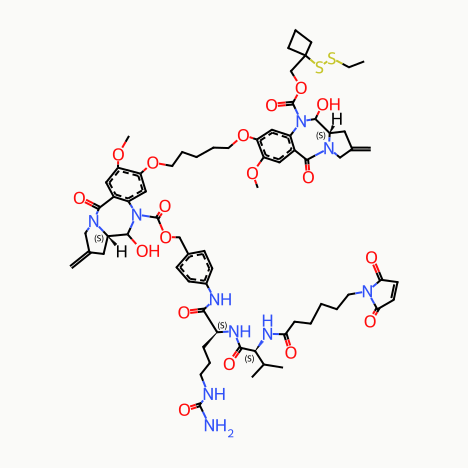 C=C1C[C@H]2C(O)N(C(=O)OCc3ccc(NC(=O)[C@H](CCCNC(N)=O)NC(=O)[C@@H](NC(=O)CCCCCN4C(=O)C=CC4=O)C(C)C)cc3)c3cc(OCCCCCOc4cc5c(cc4OC)C(=O)N4CC(=C)C[C@H]4C(O)N5C(=O)OCC4(SSCC)CCC4)c(OC)cc3C(=O)N2C1